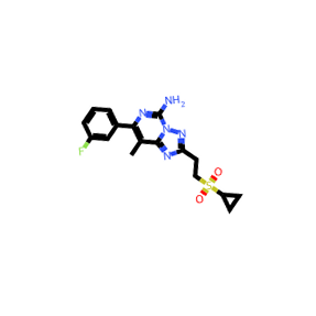 Cc1c(-c2cccc(F)c2)nc(N)n2nc(CCS(=O)(=O)C3CC3)nc12